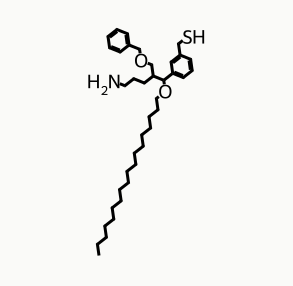 CCCCCCCCCCCCCCCCCCOC(c1cccc(CS)c1)C(CCCN)COCc1ccccc1